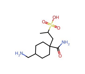 CC(CC1(C(N)=O)CCC(CN)CC1)S(=O)(=O)O